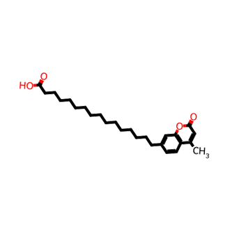 Cc1cc(=O)oc2cc(CCCCCCCCCCCCCCCC(=O)O)ccc12